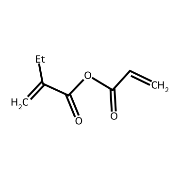 C=CC(=O)OC(=O)C(=C)CC